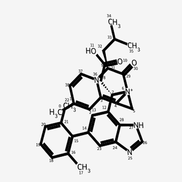 CC1=CC2=C3C[N+]3([C@@H](CC(=O)O)c3cc(-c4c(C)cccc4C)cc4nc[nH]c34)C(=O)[C@H](CC(C)C)N2C=C1